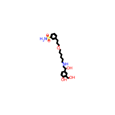 NS(=O)(=O)c1cccc(CCCOCCCCCCNC[C@H](O)c2ccc(O)c(CO)c2)c1